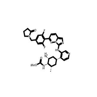 COC(=O)N[C@@H]1[C@H](N)C[C@H](c2ccncc2Nc2ncc3ccc(-c4c(F)cc(CN5CCCC5=O)cc4F)nn23)C[C@@H]1C